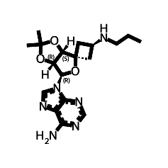 CCCN[C@H]1C[C@]2(C1)O[C@@H](n1cnc3c(N)ncnc31)[C@@H]1OC(C)(C)O[C@@H]12